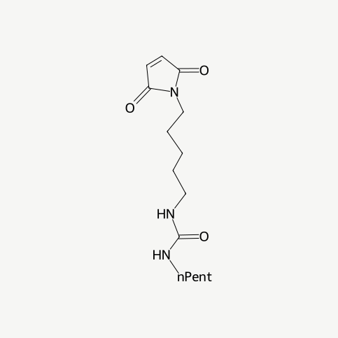 CCCCCNC(=O)NCCCCCN1C(=O)C=CC1=O